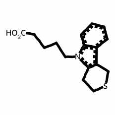 O=C(O)CCCCn1c2c(c3ccccc31)CSCC2